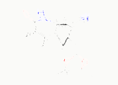 CCOC(Cc1cc2c(C)cc(=O)[nH]c2cc1C#N)OCC